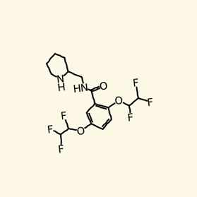 O=C(NCC1CCCCN1)c1cc(OC(F)C(F)F)ccc1OC(F)C(F)F